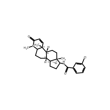 CN1C(=O)C=C[C@@]2(C)C1CC[C@@H]1[C@H]2CC[C@]2(C)C(NC(=O)c3cccc(Cl)c3)CC[C@@H]12